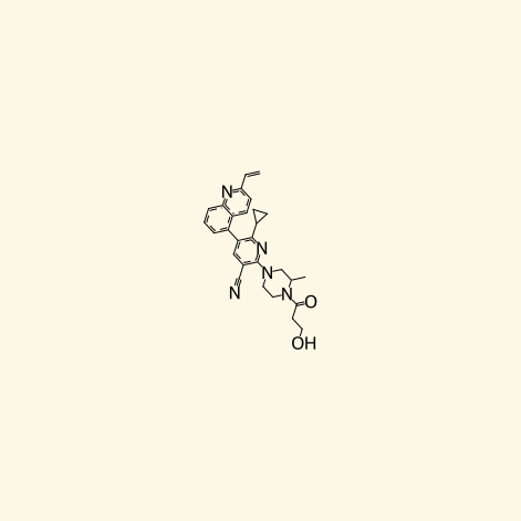 C=Cc1ccc2c(-c3cc(C#N)c(N4CCN(C(=O)CCO)C(C)C4)nc3C3CC3)cccc2n1